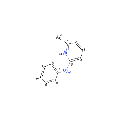 CC(=O)c1cccc(Nc2ccccc2)n1